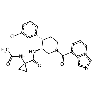 O=C(c1cccn2cncc12)N1CC[C@@H](c2cccc(Cl)c2)[C@H](NC(=O)C2(NC(=O)C(F)(F)F)CC2)C1